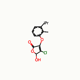 Cc1c(OC2=C(Cl)C(O)OC2=O)cccc1C(C)C